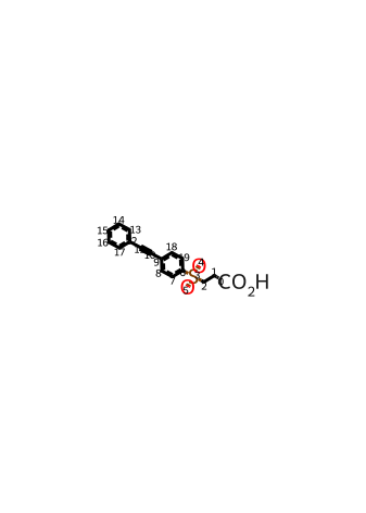 O=C(O)CCS(=O)(=O)c1ccc(C#Cc2ccccc2)cc1